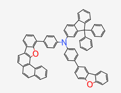 c1ccc(C2(c3ccccc3)c3ccccc3-c3ccc(N(c4ccc(-c5ccc6oc7ccccc7c6c5)cc4)c4ccc(-c5cccc6c5oc5c6ccc6ccc7ccccc7c65)cc4)cc32)cc1